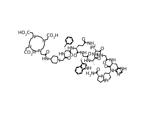 CC(C)C[C@@H](CN1CCC[C@H]1C(N)=O)NC(=O)[C@H](Cc1cnc[nH]1)NC(=O)CNC(=O)[C@@H](NC(=O)[C@H](C)NC(=O)[C@H](Cc1c[nH]c2ccccc12)NC(=O)[C@H](CCC(N)=O)NC(=O)[C@@H](Cc1ccccc1)NC(=O)CN1CCC(NC(=O)CN2CCN(CC(=O)O)CCN(CC(=O)O)CCN(CC(=O)O)CC2)CC1)C(C)C